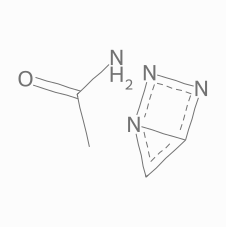 CC(N)=O.c1c2nnn1-2